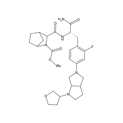 CC(C)(C)OC(=O)N1C2CCC(C2)C1C(=O)N[C@@H](Cc1ccc(N2CC3CCN(C4CCOC4)C3C2)cc1F)C(N)=O